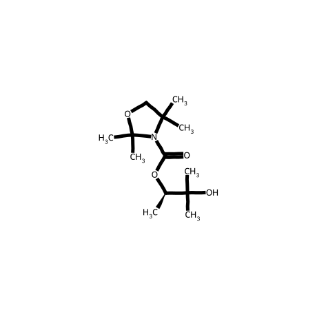 C[C@@H](OC(=O)N1C(C)(C)COC1(C)C)C(C)(C)O